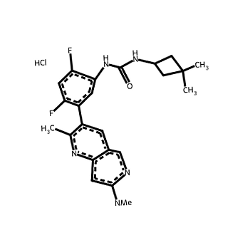 CNc1cc2nc(C)c(-c3cc(NC(=O)NC4CC(C)(C)C4)c(F)cc3F)cc2cn1.Cl